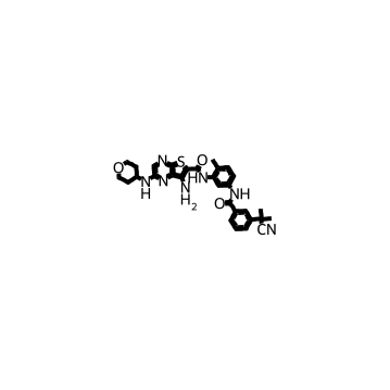 Cc1ccc(NC(=O)c2cccc(C(C)(C)C#N)c2)cc1NC(=O)c1sc2ncc(NC3CCOCC3)nc2c1N